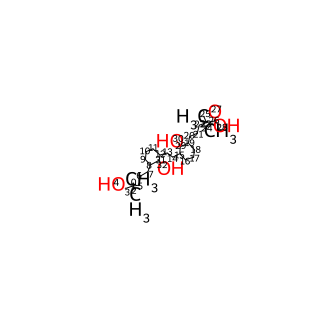 CC(C)(CO)CCCC1CCCC(CCC2CCCC(CCCC(C)(C)C(=O)O)C2O)C1O